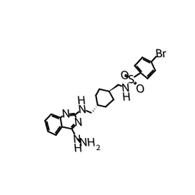 NNc1nc(NC[C@H]2CC[C@H](CNS(=O)(=O)c3ccc(Br)cc3)CC2)nc2ccccc12